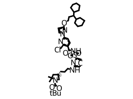 CC(C)(C)OC(=O)N1C[C@@H](CCCNc2cccc(S(=O)(=O)NC(=O)c3ccc(-n4ccc(OCCC(C5CCCCC5)C5CCCCC5)n4)nc3Cl)n2)CC1(C)C